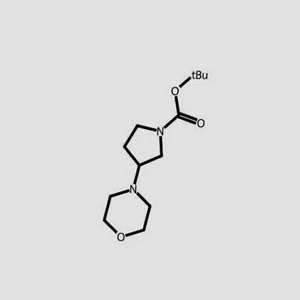 CC(C)(C)OC(=O)N1CCC(N2CCOCC2)C1